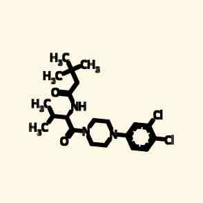 CC(C)[C@@H](NC(=O)CC(C)(C)C)C(=O)N1CCN(c2ccc(Cl)c(Cl)c2)CC1